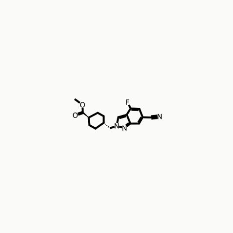 COC(=O)[C@H]1CC[C@H](Cn2cc3c(F)cc(C#N)cc3n2)CC1